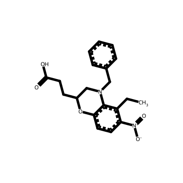 CCc1c([N+](=O)[O-])ccc2c1N(Cc1ccccc1)CC(CCC(=O)O)O2